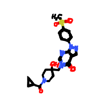 CS(=O)(=O)c1ccc(-n2ncc3c(=O)n(CC4(O)CCN(C(=O)C5CC5)CC4)cnc32)cc1